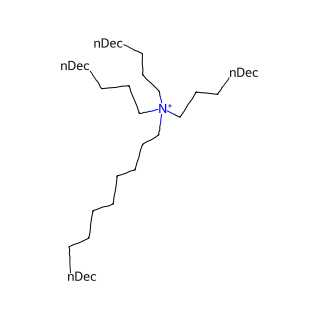 CCCCCCCCCCCCCCCCCC[N+](CCCCCCCCCCCCC)(CCCCCCCCCCCCC)CCCCCCCCCCCCC